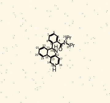 CC(C)N(C(=O)c1ccccc1C1NC2=C(CNC=C2)C2C=CC=CC21)C(C)C